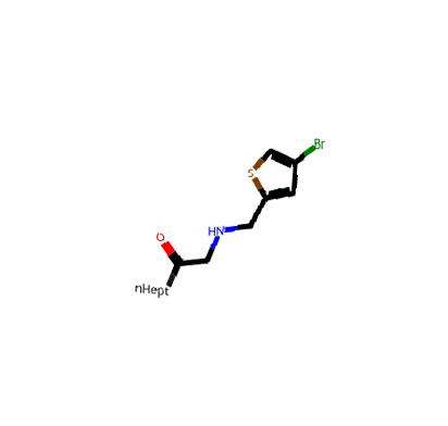 CCCCCCCC(=O)CNCc1cc(Br)cs1